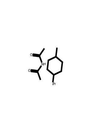 CC(=O)NC(C)=O.CC1CCC(C(C)C)CC1